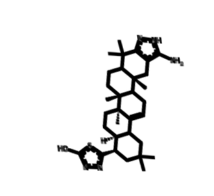 CC1(C)CC2C3=CCC4[C@@]5(C)Cc6c(n[nH]c6N)C(C)(C)C5CC[C@@]4(C)[C@]3(C)CC[C@@H]2[C@H](c2nnc(O)s2)C1